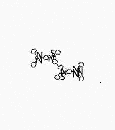 c1ccc(-c2cc(-c3ccccc3)nc(-c3ccc(-n4c5ccc(-c6ccc7c(c6)c6c8ccccc8sc6n7-c6ccc(-c7nc(-c8ccccc8)nc(-c8ccccc8)n7)cc6)cc5c5c6ccccc6sc54)cc3)n2)cc1